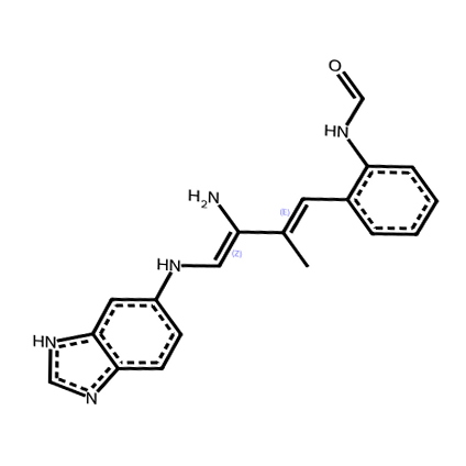 CC(=C\c1ccccc1NC=O)/C(N)=C/Nc1ccc2nc[nH]c2c1